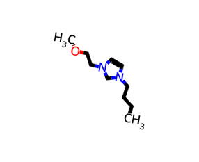 CCCCN1C=CN(CCOC)C1